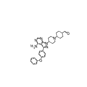 Nc1ncnc2c1c(-c1ccc(Oc3ccccc3)cc1)nn2C1CCN(C2CCC(C=O)CC2)CC1